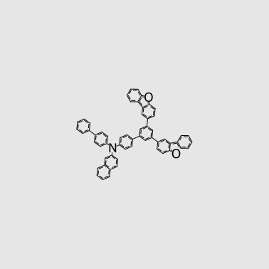 c1ccc(-c2ccc(N(c3ccc(-c4cc(-c5ccc6oc7ccccc7c6c5)cc(-c5ccc6oc7ccccc7c6c5)c4)cc3)c3ccc4ccccc4c3)cc2)cc1